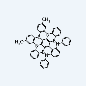 Cc1ccc2c(c1)N1c3ccccc3B3c4c5c6c7c(c41)B2c1ccc(C)cc1N7c1ccccc1B6N(c1ccccc1)c1cccc(c1-5)N3c1ccccc1